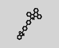 c1ccc2oc(-c3ccc(-c4ccc(-c5nc6c7ccccc7c7ccccc7c6c6ccccc56)cc4)cc3)nc2c1